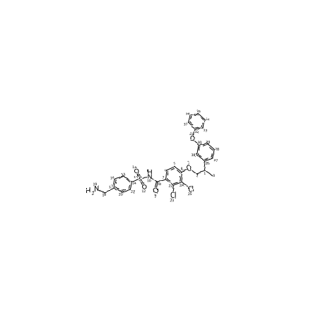 CC(COc1ccc(C(=O)NS(=O)(=O)c2ccc(CN)cc2)c(Cl)c1Cl)c1cccc(Oc2ccccc2)c1